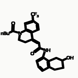 CCCCC(=O)N1CCC(=CC(=O)Nc2cccc3c2CC(O)CC3)c2ccc(C(F)(F)F)cc21